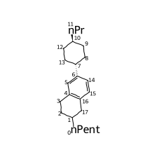 CCCCCC1CCc2cc([C@H]3CC[C@H](CCC)CC3)ccc2C1